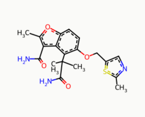 Cc1ncc(COc2ccc3oc(C)c(C(N)=O)c3c2C(C)(C)C(N)=O)s1